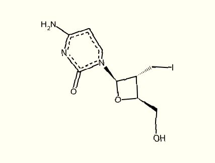 Nc1ccn([C@@H]2O[C@H](CO)[C@H]2CI)c(=O)n1